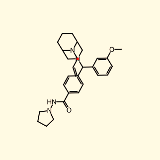 C=CCN1C2CCCC1CN(C(c1ccc(C(=O)NN3CCCC3)cc1)c1cccc(OC)c1)C2